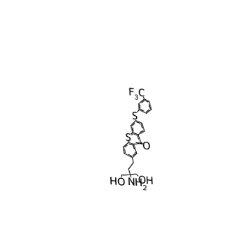 NC(CO)(CO)CCc1ccc2sc3cc(Sc4cccc(C(F)(F)F)c4)ccc3c(=O)c2c1